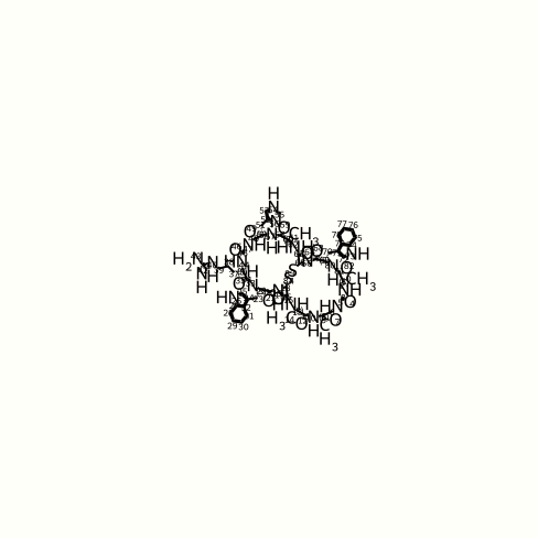 C[C@@H]1NC(=O)NC(=O)[C@H](C)NC(=O)[C@H](C)NC(=O)C2NC(=O)[C@H](Cc3c[nH]c4ccccc34)NC(=O)[C@H](CCCNC(=N)N)NC(=O)NC(=O)[C@H](Cc3c[nH]cn3)NC(=O)[C@H](C)NC(=O)C(NC(=O)[C@H](Cc3c[nH]c4ccccc34)NC1=O)SS2